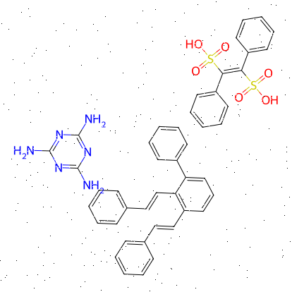 C(=Cc1cccc(-c2ccccc2)c1C=Cc1ccccc1)c1ccccc1.Nc1nc(N)nc(N)n1.O=S(=O)(O)C(=C(c1ccccc1)S(=O)(=O)O)c1ccccc1